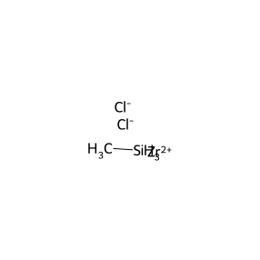 C[SiH3].[Cl-].[Cl-].[Zr+2]